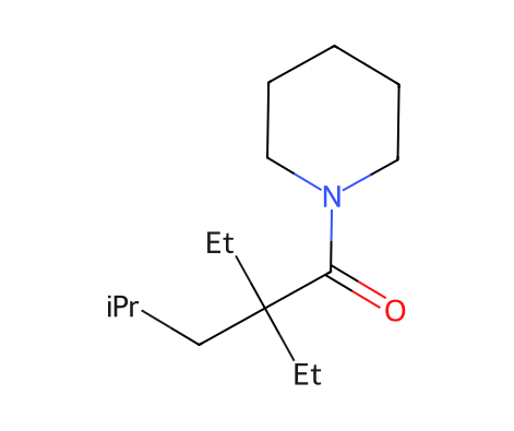 CCC(CC)(CC(C)C)C(=O)N1CCCCC1